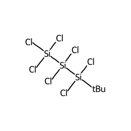 CC(C)(C)[Si](Cl)(Cl)[Si](Cl)(Cl)[Si](Cl)(Cl)Cl